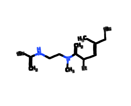 C=C(C(/C=C(\C)CC(C)(C)C)CC)N(C)CCNC(=C)C(C)(C)C